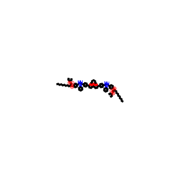 C=CC(C=C)OC(=O)C(CCCCCCCCC)Oc1ccc(-c2nnc(-c3ccc(-c4ccc5c(c4)C4(c6cc(-c7ccc(-c8nnc(-c9ccc(OC(CCCCCCCCC)C(=O)OC(C=C)C=C)cc9)n8-c8ccccc8)cc7)ccc6-5)C5(C)CCCC4(C)CCC5)cc3)n2-c2ccccc2)cc1